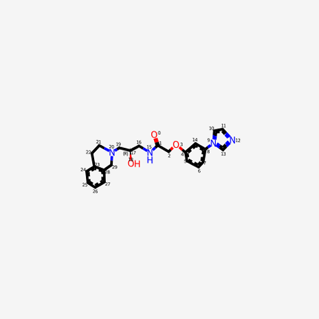 O=C(COc1cccc(-n2ccnc2)c1)NC[C@@H](O)CN1CCc2ccccc2C1